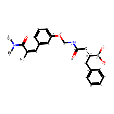 CCN(CC)C(=O)C(C#N)=Cc1cccc(OCNC(=O)C[C@@H](Cc2ccccc2)B(O)O)c1